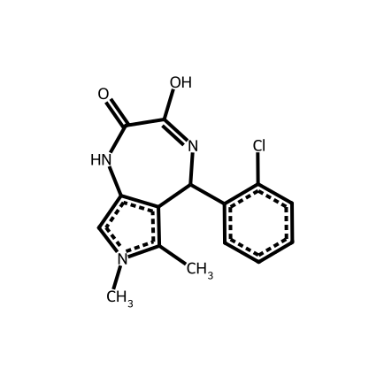 Cc1c2c(cn1C)NC(=O)C(O)=NC2c1ccccc1Cl